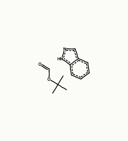 CC(C)(C)OC=O.c1ccc2[nH]ncc2c1